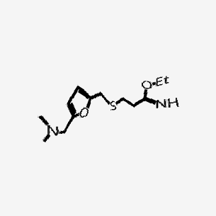 CCOC(=N)CCSCc1ccc(CN(C)C)o1